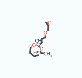 C[SiH]1CCCCO[Si](C)(CCCOCC2CO2)O1